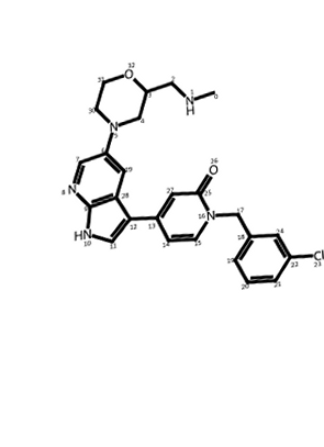 CNCC1CN(c2cnc3[nH]cc(-c4ccn(Cc5cccc(Cl)c5)c(=O)c4)c3c2)CCO1